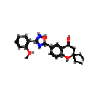 CCC1(CC)CC(=O)c2cc(-c3nc(-c4ccccc4OC)no3)ccc2O1